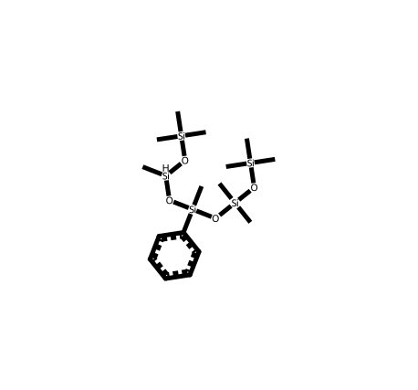 C[SiH](O[Si](C)(C)C)O[Si](C)(O[Si](C)(C)O[Si](C)(C)C)c1ccccc1